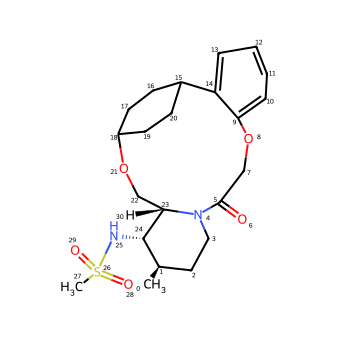 C[C@@H]1CCN2C(=O)COc3ccccc3C3CCC(CC3)OC[C@H]2[C@H]1NS(C)(=O)=O